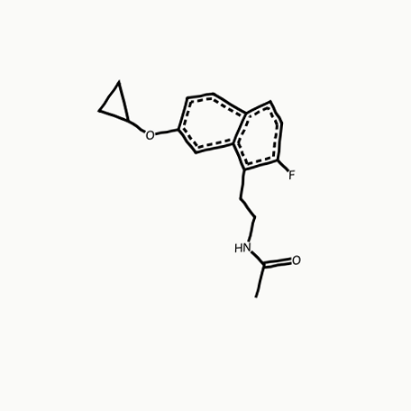 CC(=O)NCCc1c(F)ccc2ccc(OC3CC3)cc12